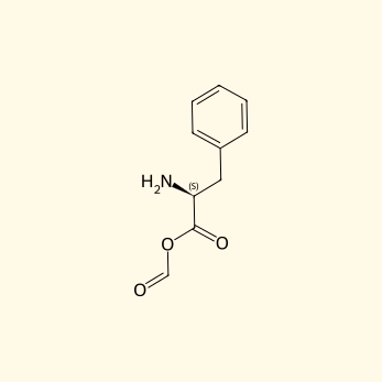 N[C@@H](Cc1ccccc1)C(=O)OC=O